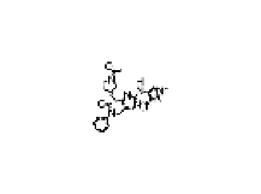 CC(=O)N1CC[C@H](N2C(=O)N(c3ccccc3)Cc3cnc(Nc4cn(C)nc4Cl)nc32)C1